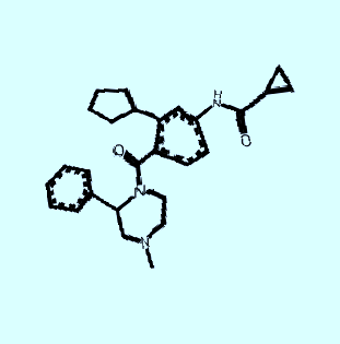 CN1CCN(C(=O)c2ccc(NC(=O)C3CC3)cc2C2CCCC2)C(c2ccccc2)C1